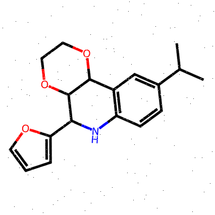 CC(C)c1ccc2c(c1)C1OCCOC1C(c1ccco1)N2